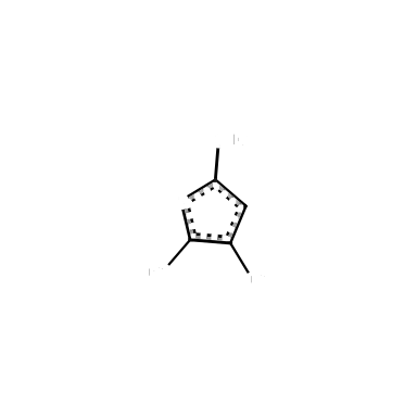 CC(C)c1cc(C=O)sc1C(C)C